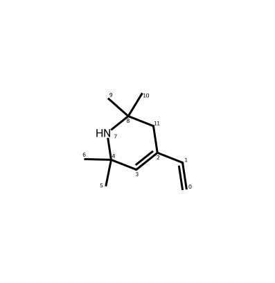 C=CC1=CC(C)(C)NC(C)(C)C1